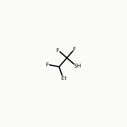 CCC(F)C(F)(F)S